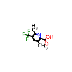 Cc1cc(C(F)(F)F)c(C)nc1C(=O)O